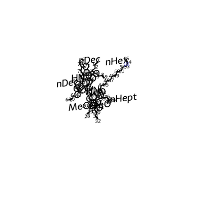 C=CCCP(=O)(OCC=C)O[C@H]1O[C@H](COC2O[C@H](COC)[C@@H](OP(=O)(OCC=C)OCC=C)[C@H](OCC[C@@H](CCCCCCC)OC)[C@H]2NC(=O)CCCCCCCCC/C=C\CCCCCC)[C@@H](OC(=O)OCC=C)[C@H](OCCCCCCCCCC)[C@H]1NC(=O)CC(=O)CCCCCCCCCCC